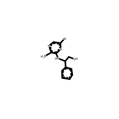 Nc1ncc(Br)nc1NC(CO)c1ccccc1